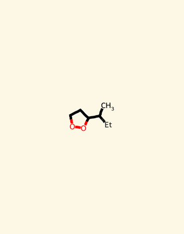 CCC(C)C1CCOO1